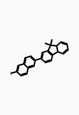 CC1(C)c2cc(-c3ccc4cc(I)ccc4c3)ccc2C2C=CC=CC21